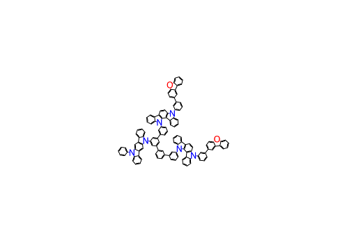 c1ccc(-n2c3ccccc3c3cc4c(cc32)c2ccccc2n4-c2cc(-c3cccc(-c4cccc(-n5c6ccccc6c6ccc7c(c8ccccc8n7-c7cccc(-c8ccc9oc%10ccccc%10c9c8)c7)c65)c4)c3)cc(-c3cccc(-n4c5ccccc5c5ccc6c(c7ccccc7n6-c6cccc(-c7ccc8oc9ccccc9c8c7)c6)c54)c3)c2)cc1